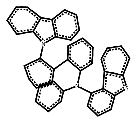 c1ccc(N(c2ccccc2-c2ccccc2-n2c3ccccc3c3ccccc32)c2cccc3sc4ccccc4c23)cc1